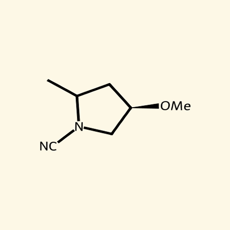 CO[C@@H]1CC(C)N(C#N)C1